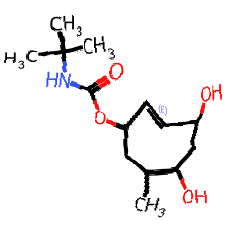 CC1CC(OC(=O)NC(C)(C)C)/C=C/C(O)CC1O